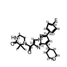 CC1(C)C(=O)NCCN1C(=O)c1cn2nc(-c3ccc(F)cc3)cc(C3CCOCC3)c2n1